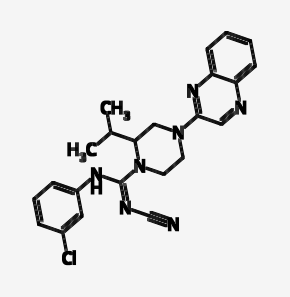 CC(C)C1CN(c2cnc3ccccc3n2)CCN1/C(=N\C#N)Nc1cccc(Cl)c1